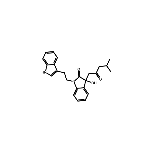 CC(C)CC(=O)CC1(O)C(=O)N(CCc2c[nH]c3ccccc23)c2ccccc21